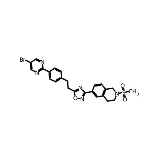 CS(=O)(=O)N1CCc2cc(-c3noc(CCc4ccc(-c5ncc(Br)cn5)cc4)n3)ccc2C1